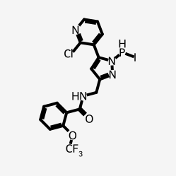 O=C(NCc1cc(-c2cccnc2Cl)n(PI)n1)c1ccccc1OC(F)(F)F